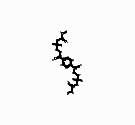 COC(=O)CC(C)(C)CCC(=O)c1ccc(C(=O)CCC(C)(C)CC(=O)OC)cc1